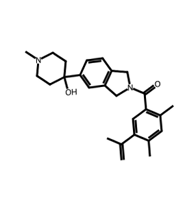 C=C(C)c1cc(C(=O)N2Cc3ccc(C4(O)CCN(C)CC4)cc3C2)c(C)cc1C